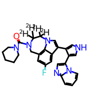 [2H]C1([2H])N(C(=O)N2CCCCC2)Cc2cc(F)cc3c(-c4c[nH]cc4-c4cnc5ccccn45)cn(c23)C1([2H])[2H]